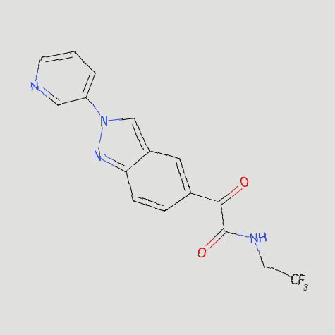 O=C(NCC(F)(F)F)C(=O)c1ccc2nn(-c3cccnc3)cc2c1